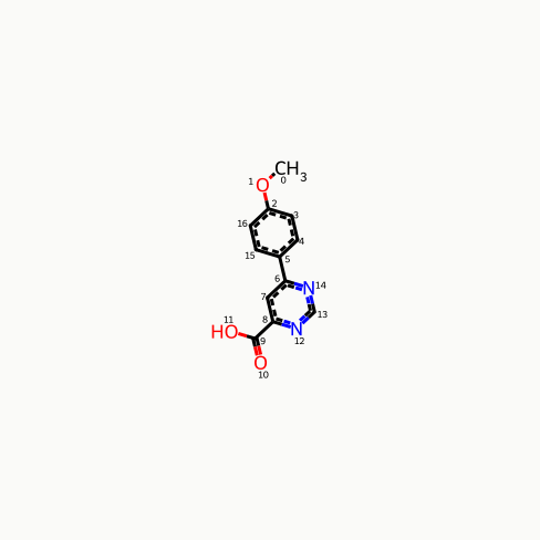 COc1ccc(-c2cc(C(=O)O)ncn2)cc1